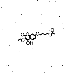 CCOc1c(O)c2ccc(OCCCCOC(C)=O)cc2oc1=O